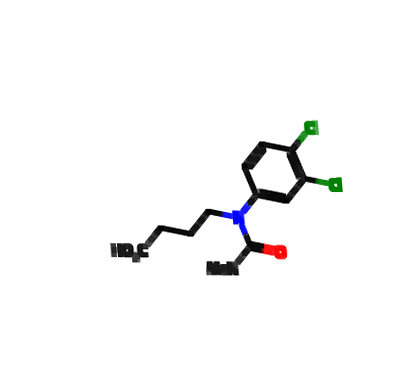 CNC(=O)N(CCCC(=O)O)c1ccc(Cl)c(Cl)c1